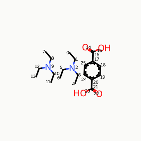 CCN(CC)CC.CCN(CC)CC.O=C(O)c1ccc(C(=O)O)cc1